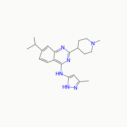 Cc1cc(Nc2nc(C3CCN(C)CC3)nc3cc(C(C)C)ccc23)[nH]n1